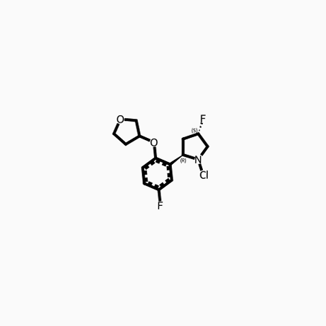 Fc1ccc(OC2CCOC2)c([C@H]2C[C@H](F)CN2Cl)c1